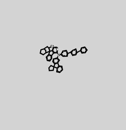 CCC1CC2CCCC(C2)C12c1ccccc1-c1c(N(c3ccc(-c4ccc(-c5ccccc5)cc4)cc3)c3ccc4c(c3)-c3ccccc3C43CCCC3)cccc12